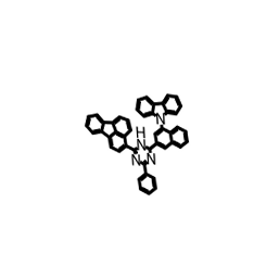 c1ccc(C2=NC(c3cc(-n4c5ccccc5c5ccccc54)c4ccccc4c3)NC(c3ccc4c5c(cccc35)-c3ccccc3-4)=N2)cc1